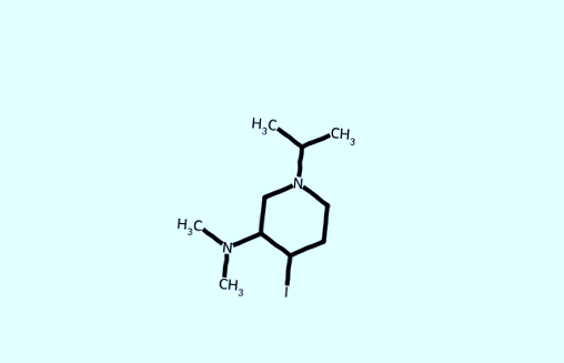 CC(C)N1CCC(I)C(N(C)C)C1